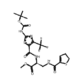 COC(=O)[C@H](CNC(=O)C1=CCCS1)NC(=O)c1sc(NC(=O)OC(C)(C)C)nc1C(F)(F)F